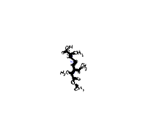 CCOC(=O)/C(C)=C(/C=C/C=C(\C)C(=O)O)CC